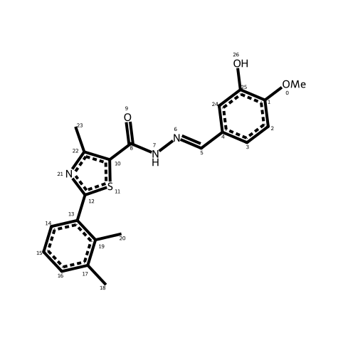 COc1ccc(/C=N/NC(=O)c2sc(-c3cccc(C)c3C)nc2C)cc1O